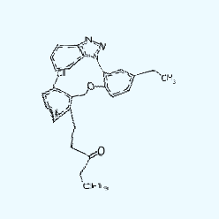 CCC(=O)CCc1cccc(Cl)c1COc1ccc(CC)cc1-n1nnc2ccccc21